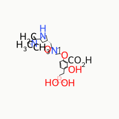 C=C(C1C[C@@H](CC(=O)N2CC(Oc3ccc(CCB(O)O)c(O)c3C(=O)O)C2)CN1)N(C)C